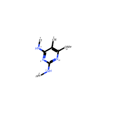 CCCNc1nc(NCC)c(C#N)c(OC)n1